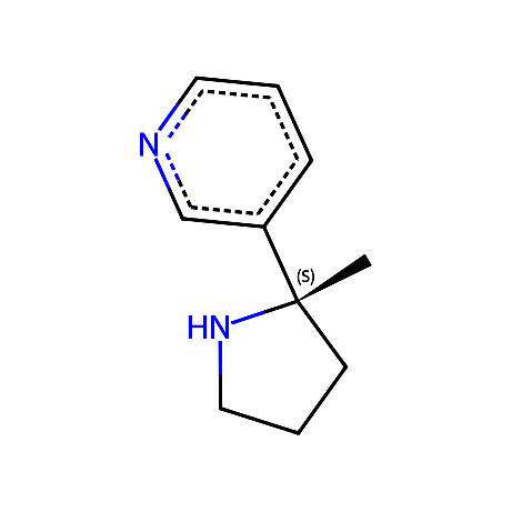 C[C@@]1(c2cccnc2)CCCN1